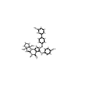 CN1C(=O)c2c(nn(Cc3ccc(-c4cccc(F)n4)cc3)c2Oc2ccc(F)cc2)N2C1=N[C@@H]1CCC[C@@H]12